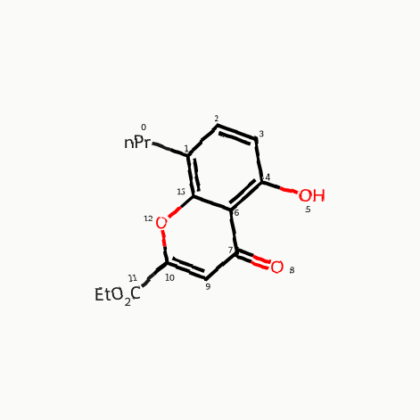 CCCc1ccc(O)c2c(=O)cc(C(=O)OCC)oc12